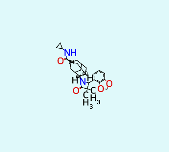 CC1(C)C(=O)N([C@@H]2C3CC4C[C@H]2C[C@@](C(=O)NC2CC2)(C4)C3)C1c1cccc2c1OCO2